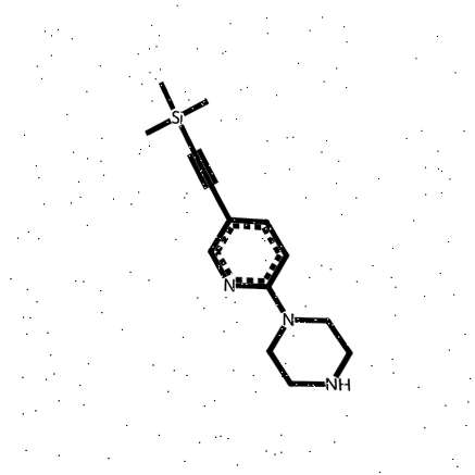 C[Si](C)(C)C#Cc1ccc(N2CCNCC2)nc1